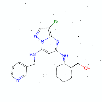 OC[C@H]1CCCC[C@H]1Nc1cc(NCc2cccnc2)n2ncc(Br)c2n1